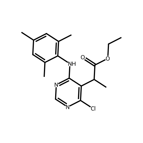 CCOC(=O)C(C)c1c(Cl)ncnc1Nc1c(C)cc(C)cc1C